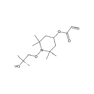 C=CC(=O)OC1CC(C)(C)N(OCC(C)(C)O)C(C)(C)C1